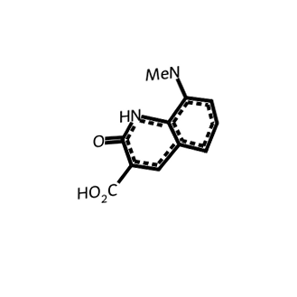 CNc1cccc2cc(C(=O)O)c(=O)[nH]c12